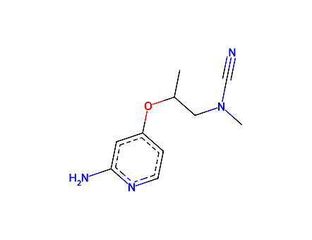 CC(CN(C)C#N)Oc1ccnc(N)c1